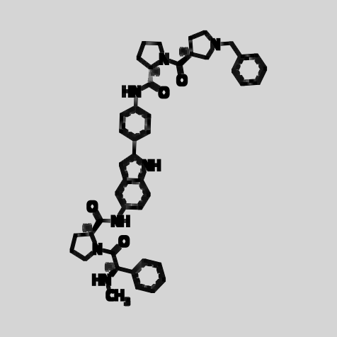 CN[C@@H](C(=O)N1CCC[C@H]1C(=O)Nc1ccc2[nH]c(-c3ccc(NC(=O)[C@@H]4CCCN4C(=O)[C@H]4CCN(Cc5ccccc5)C4)cc3)cc2c1)c1ccccc1